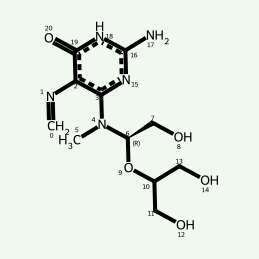 C=Nc1c(N(C)[C@@H](CO)OC(CO)CO)nc(N)[nH]c1=O